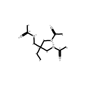 CCC(COC(C)=O)(COC(C)=O)COC(C)=O